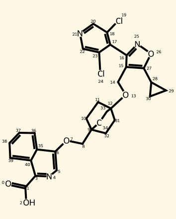 O=C(O)c1ncc(OCC23CCC(OCc4c(-c5c(Cl)cncc5Cl)noc4C4CC4)(CC2)CC3)c2ccccc12